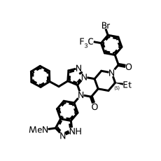 CC[C@H]1CC2C(=O)N(c3ccc4c(NC)n[nH]c4c3)c3c(Cc4ccccc4)cnn3C2CN1C(=O)c1ccc(Br)c(C(F)(F)F)c1